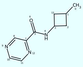 CC1CC(NC(=O)c2cnccn2)C1